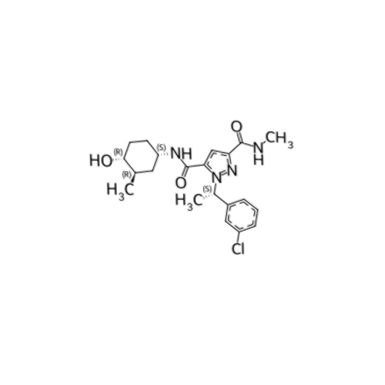 CNC(=O)c1cc(C(=O)N[C@H]2CC[C@@H](O)[C@H](C)C2)n([C@@H](C)c2cccc(Cl)c2)n1